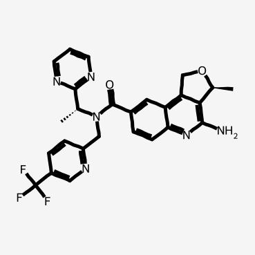 C[C@@H]1OCc2c1c(N)nc1ccc(C(=O)N(Cc3ccc(C(F)(F)F)cn3)[C@H](C)c3ncccn3)cc21